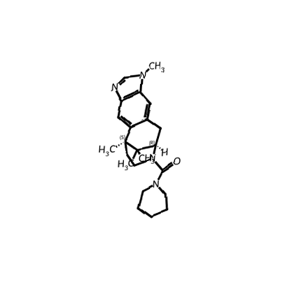 Cn1cnc2cc3c(cc21)C[C@H]1N(C(=O)N2CCCCC2)CC[C@]3(C)C1(C)C